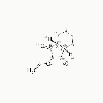 C=CON1C(=O)[C@H]2CCCC[C@H]2C1=O